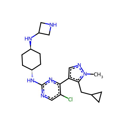 Cn1ncc(-c2nc(N[C@H]3CC[C@H](NC4CNC4)CC3)ncc2Cl)c1CC1CC1